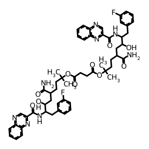 CC(C)(CCC(CC(O)C(Cc1cccc(F)c1)NC(=O)c1cnc2ccccc2n1)C(N)=O)OC(=O)CCC(=O)OC(C)(C)CCC(CC(O)C(Cc1cccc(F)c1)NC(=O)c1cnc2ccccc2n1)C(N)=O